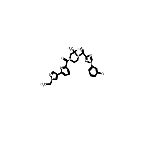 CCn1cc(-c2cccc(C(=O)N3CCN(C(=O)c4ncn(-c5cccc(Cl)c5)n4)C(C)(C)C3)n2)cn1